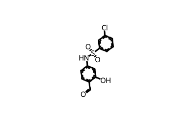 O=Cc1ccc(NS(=O)(=O)c2cccc(Cl)c2)cc1O